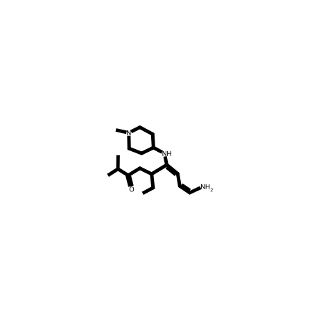 CCC(CC(=O)C(C)C)/C(=C\C=C/N)NC1CCN(C)CC1